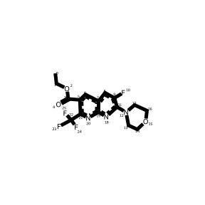 CCOC(=O)c1cc2cc(F)c(N3CCOCC3)nc2nc1C(F)(F)F